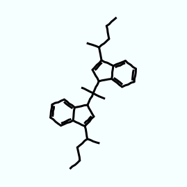 CCCC(C)C1=CC(C(C)(C)C2C=C(C(C)CCC)c3ccccc32)c2ccccc21